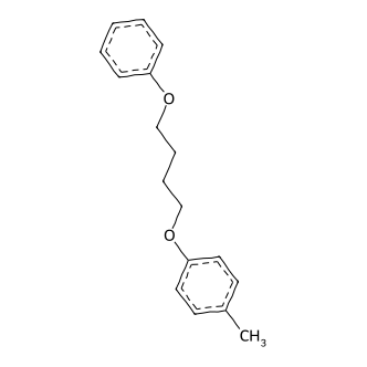 Cc1ccc(OCCCCOc2ccccc2)cc1